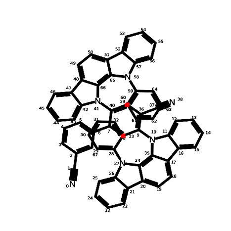 N#Cc1cccc(-c2cc(-n3c4ccccc4c4ccc5c6ccccc6n(-c6ccccc6)c5c43)c(C#N)cc2-n2c3ccccc3c3ccc4c5ccccc5n(-c5ccccc5)c4c32)c1